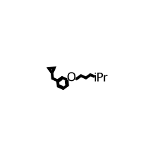 CC(C)CCCCOc1cccc(CC2CC2)c1